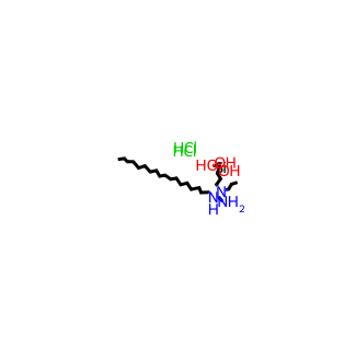 CCCCCCCCCCCCCCCCCCNC(N)N(CCC)CCC[Si](O)(O)O.Cl.Cl